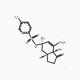 C[C@]1(NS(=O)(=O)c2ccc(C(F)(F)F)cn2)C=C(C(=O)O)[C@]2(O)C(=O)CC[C@@H]2C1